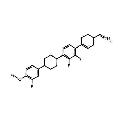 C=CC1CC=C(c2ccc(C3CCC(c4ccc(OCC)c(F)c4)CC3)c(F)c2F)CC1